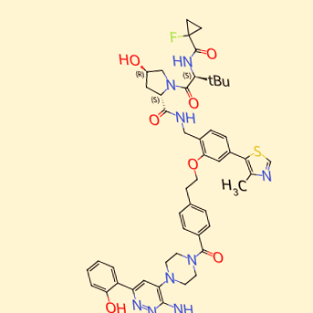 Cc1ncsc1-c1ccc(CNC(=O)[C@@H]2C[C@@H](O)CN2C(=O)[C@@H](NC(=O)C2(F)CC2)C(C)(C)C)c(OCCc2ccc(C(=O)N3CCN(c4cc(-c5ccccc5O)nnc4N)CC3)cc2)c1